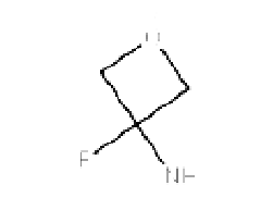 NC1(F)COC1